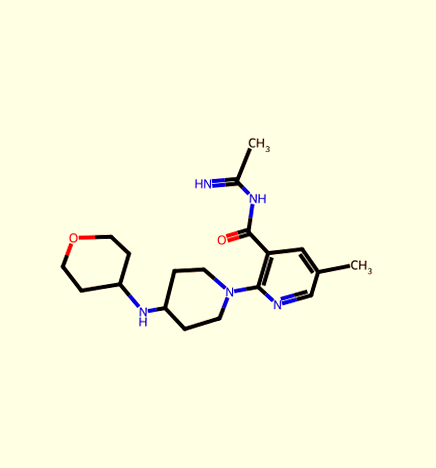 CC(=N)NC(=O)c1cc(C)cnc1N1CCC(NC2CCOCC2)CC1